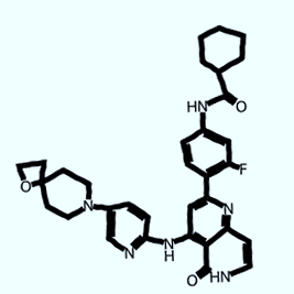 O=C(Nc1ccc(-c2cc(Nc3ccc(N4CCC5(CCO5)CC4)cn3)c3c(=O)[nH]ccc3n2)c(F)c1)C1CCCCC1